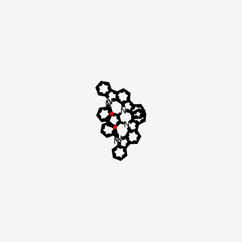 N#Cc1ccc(C#N)c(-n2c3ccccc3c3ccc4c5ccccc5n(-c5ccccc5)c4c32)c1-n1c2ccccc2c2ccc3c4ccccc4n(-c4ccccc4)c3c21